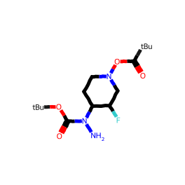 CC(C)(C)OC(=O)N(N)C1CCN(OC(=O)C(C)(C)C)CC1F